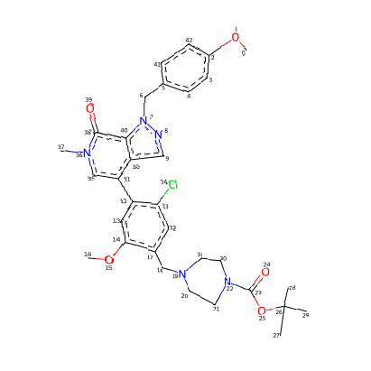 COc1ccc(Cn2ncc3c(-c4cc(OC)c(CN5CCN(C(=O)OC(C)(C)C)CC5)cc4Cl)cn(C)c(=O)c32)cc1